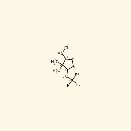 CC1(C)C(OC(F)(F)F)CCC1SCl